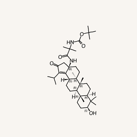 CC(C)C1=C2[C@H]3CC[C@@H]4[C@@]5(C)CC[C@H](O)C(C)(C)[C@@H]5CC[C@@]4(C)[C@]3(C)CC[C@@]2(NC(=O)C(C)(C)NC(=O)OC(C)(C)C)CC1=O